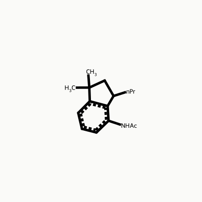 CCCC1CC(C)(C)c2cccc(NC(C)=O)c21